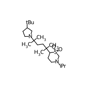 CC(C)N1CCC(C(C)(C)CCC(C)(C)N2CCC(C(C)(C)C)C2)S(=O)(=O)C1